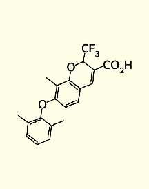 Cc1cccc(C)c1Oc1ccc2c(c1C)OC(C(F)(F)F)C(C(=O)O)=C2